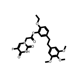 CCOc1ccc(CCc2cc(OC)c(OC)c(OC)c2)cc1OC(=O)Cn1cc(F)c(=O)[nH]c1=O